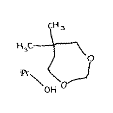 CC(C)O.CC1(C)COCOC1